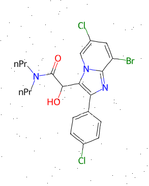 CCCN(CCC)C(=O)C(O)c1c(-c2ccc(Cl)cc2)nc2c(Br)cc(Cl)cn12